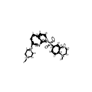 CN1CCN(c2ccc3ccn(S(=O)(=O)c4ccc5c(c4)OCCN5C)c3n2)CC1